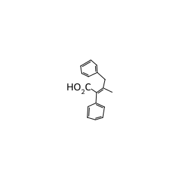 CC(Cc1ccccc1)=C(C(=O)O)c1ccccc1